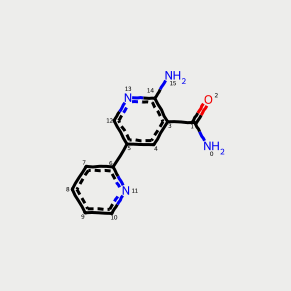 NC(=O)c1cc(-c2ccccn2)cnc1N